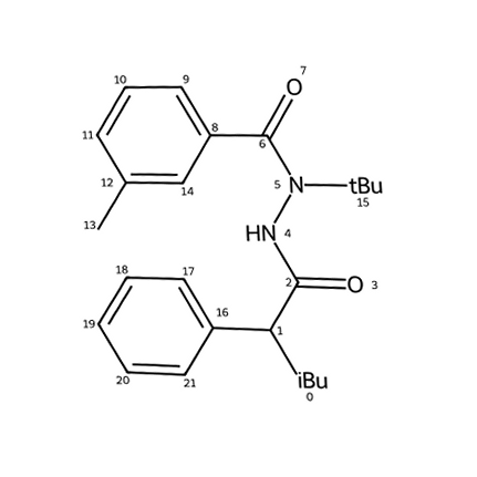 CCC(C)C(C(=O)NN(C(=O)c1cccc(C)c1)C(C)(C)C)c1ccccc1